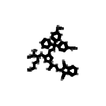 COc1ccc(C(OCC2CN(C(=O)CCN3C(=O)c4ccccc4C3=O)CC2OP(OCCC#N)N(C(C)C)C(C)C)(c2ccccc2)c2ccc(OC)cc2)cc1